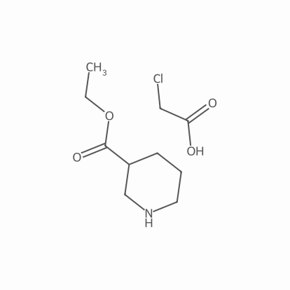 CCOC(=O)C1CCCNC1.O=C(O)CCl